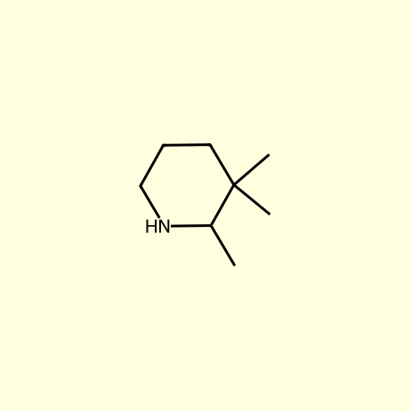 CC1NCCCC1(C)C